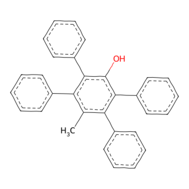 Cc1c(-c2ccccc2)c(-c2ccccc2)c(O)c(-c2ccccc2)c1-c1ccccc1